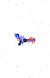 CN(C)S(=O)(=O)NC(=O)OCc1ccc(-n2nc(C(C)(C)C)cc2NC(=O)Nc2ccncn2)cc1